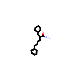 NC(=O)/C(=C/CCCc1ccccc1)CC1CCCCC1